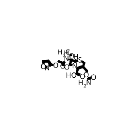 CO[C@@]1(NC(=O)COc2ccon2)C(=O)N2C(C(=O)O)=C(COC(N)=O)CS[C@@H]21